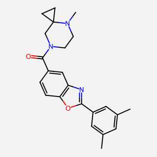 Cc1cc(C)cc(-c2nc3cc(C(=O)N4CCN(C)C5(CC5)C4)ccc3o2)c1